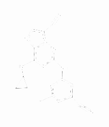 N#Cc1cc(Cl)cc(Nc2cc(NC3CC3)c3ncc(C#N)n3n2)c1